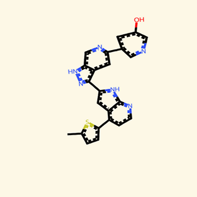 Cc1ccc(-c2ccnc3[nH]c(-c4n[nH]c5cnc(-c6cncc(O)c6)cc45)cc23)s1